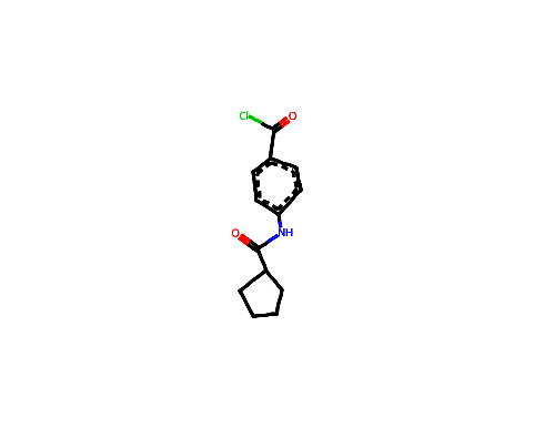 O=C(Cl)c1ccc(NC(=O)C2CCCC2)cc1